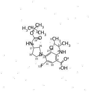 CCC(C)Nc1c(C(=O)O)cc(F)c(N2CCC(NC(=O)OC(C)(C)C)C2)c1Cl